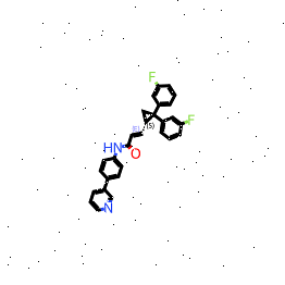 O=C(/C=C/[C@@H]1CC1(c1cccc(F)c1)c1cccc(F)c1)Nc1ccc(-c2cccnc2)cc1